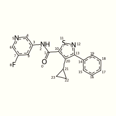 O=C(Nc1cncc(F)c1)c1snc(-c2ccccc2)c1C1CC1